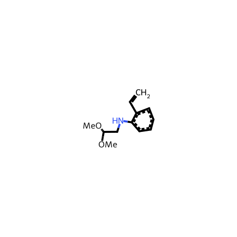 C=Cc1ccccc1NCC(OC)OC